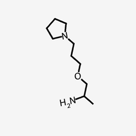 CC(N)COCCCN1CCCC1